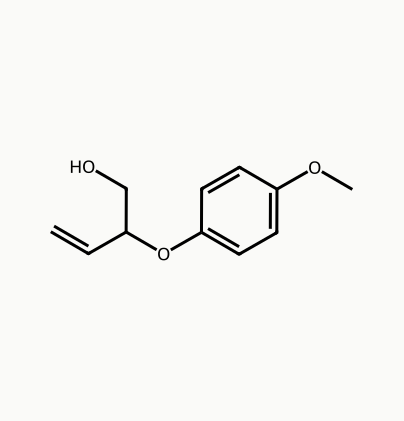 C=CC(CO)Oc1ccc(OC)cc1